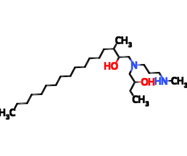 CCCCCCCCCCCCCCC(C)C(O)CN(CCCNC)CC(O)CC